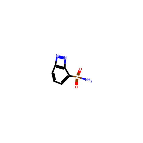 NS(=O)(=O)c1cc[c]c2c1N=N2